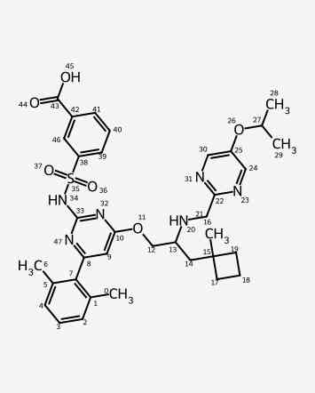 Cc1cccc(C)c1-c1cc(OCC(CC2(C)CCC2)NCc2ncc(OC(C)C)cn2)nc(NS(=O)(=O)c2cccc(C(=O)O)c2)n1